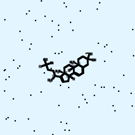 CCC(O)(CC)CC[C@H](C)C1=CC[C@H]2C3=CC=C4CC(O)(O)CC[C@]4(C)[C@H]3CC[C@]12C